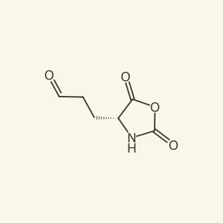 O=CCC[C@H]1NC(=O)OC1=O